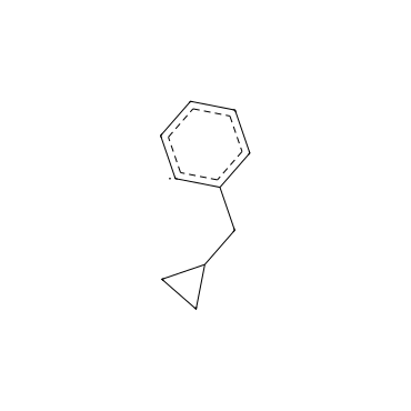 [c]1ccccc1CC1CC1